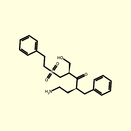 N[CH]C[C@H](Cc1ccccc1)C(=O)[C@H](CO)CS(=O)(=O)CCc1ccccc1